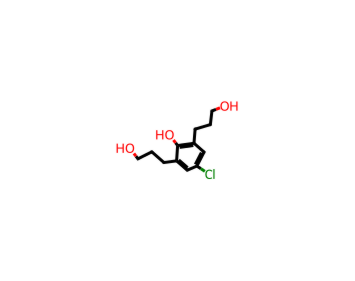 OCCCc1cc(Cl)cc(CCCO)c1O